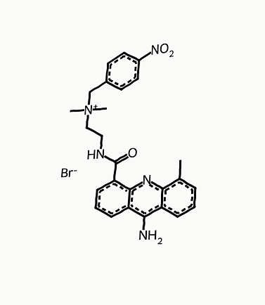 Cc1cccc2c(N)c3cccc(C(=O)NCC[N+](C)(C)Cc4ccc([N+](=O)[O-])cc4)c3nc12.[Br-]